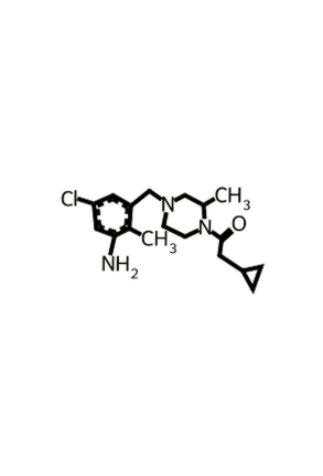 Cc1c(N)cc(Cl)cc1CN1CCN(C(=O)CC2CC2)C(C)C1